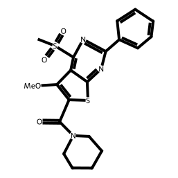 COc1c(C(=O)N2CCCCC2)sc2nc(-c3ccccc3)nc(S(C)(=O)=O)c12